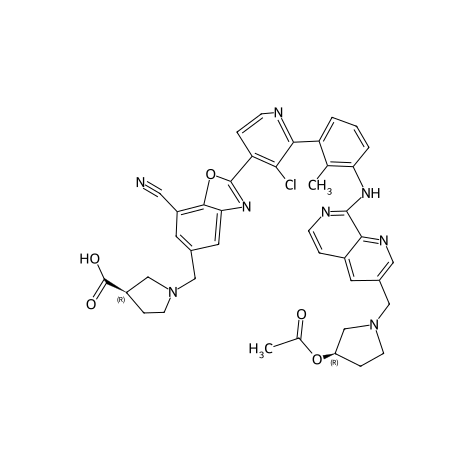 CC(=O)O[C@@H]1CCN(Cc2cnc3c(Nc4cccc(-c5nccc(-c6nc7cc(CN8CC[C@@H](C(=O)O)C8)cc(C#N)c7o6)c5Cl)c4C)nccc3c2)C1